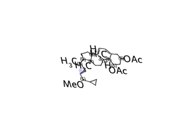 CO[C@H](/C=C/[C@H](C)[C@H]1CC[C@H]2C3=CC=C4C[C@@H](OC(C)=O)C[C@H](OC(C)=O)[C@]4(C)[C@H]3CC[C@]12C)C1CC1